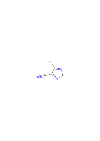 N#CC1=NCN=C1Cl